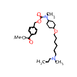 C=CCN(C)CCCCCCOC1CCC(N(C)C(=O)OCc2ccc(C(=O)OC)cc2)CC1